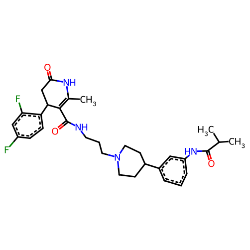 CC1=C(C(=O)NCCCN2CCC(c3cccc(NC(=O)C(C)C)c3)CC2)C(c2ccc(F)cc2F)CC(=O)N1